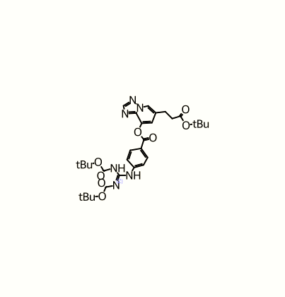 CC(C)(C)OC(=O)CCc1cc(OC(=O)c2ccc(N/C(=N/C(=O)OC(C)(C)C)NC(=O)OC(C)(C)C)cc2)c2ncnn2c1